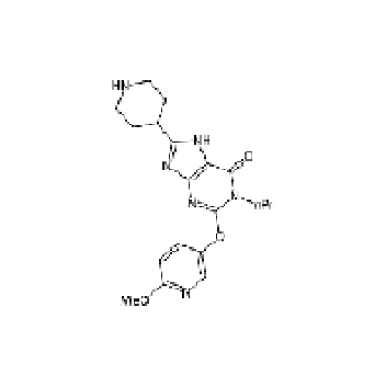 CCCn1c(Oc2ccc(OC)nc2)nc2nc(C3CCNCC3)[nH]c2c1=O